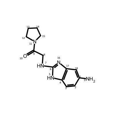 Nc1ccc2[nH]c(NCC(=O)N3CCCC3)nc2c1